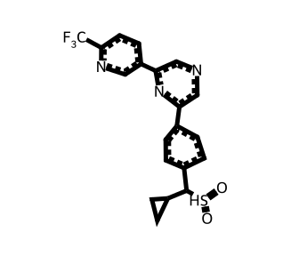 O=[SH](=O)C(c1ccc(-c2cncc(-c3ccc(C(F)(F)F)nc3)n2)cc1)C1CC1